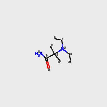 CCN(CC)C(C)(C)C(N)=O